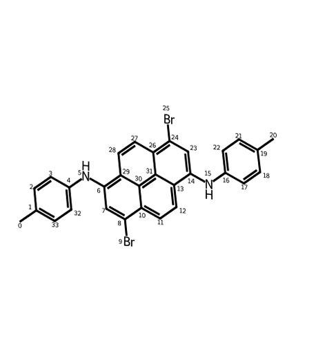 Cc1ccc(Nc2cc(Br)c3ccc4c(Nc5ccc(C)cc5)cc(Br)c5ccc2c3c54)cc1